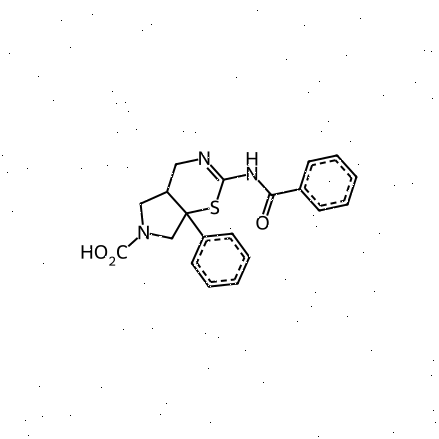 O=C(NC1=NCC2CN(C(=O)O)CC2(c2ccccc2)S1)c1ccccc1